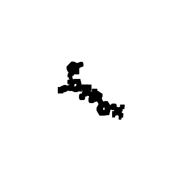 Cc1ccn(C[C@@H]2C[C@@H](NC(=O)c3ncc(-c4cccc(OC(F)(F)F)c4)o3)CN2C#N)n1